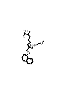 COCCNCC(=CCCCC(C)C(=O)O)COc1cccc2ccccc12